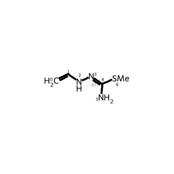 C=CN/N=C(\N)SC